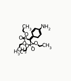 CCOP(=O)(OCC)C(=C1C=CC(N)=CC1)P(=O)(OCC)OCC